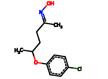 C/C(CCC(C)Oc1ccc(Cl)cc1)=N\O